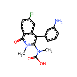 CN(C(=O)O)c1c(-c2cccc(N)c2)c2cc(Cl)ccc2c(=O)n1C